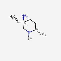 C=C[C@]1(N)CC[C@H](C)N(C(C)C)C1